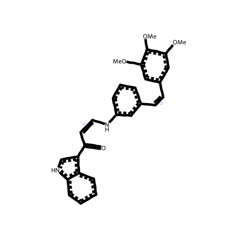 COc1cc(/C=C\c2cccc(N/C=C\C(=O)c3c[nH]c4ccccc34)c2)cc(OC)c1OC